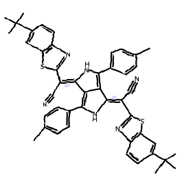 Cc1ccc(-c2[nH]/c(=C(/C#N)c3nc4ccc(C(C)(C)C)cc4s3)c3c(-c4ccc(C)cc4)[nH]/c(=C(/C#N)c4nc5ccc(C(C)(C)C)cc5s4)c23)cc1